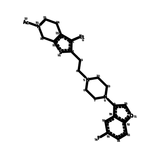 CCc1c(CCN2CCN(c3coc4ccc(F)cc34)CC2)sc2c1CCN(C(C)=O)C2